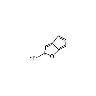 CCC[C]1C=C2C=CC=C2O1